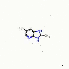 CC1Nc2cc(C(F)(F)F)cnc2N1